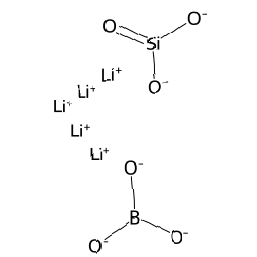 O=[Si]([O-])[O-].[Li+].[Li+].[Li+].[Li+].[Li+].[O-]B([O-])[O-]